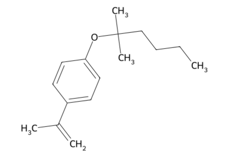 C=C(C)c1ccc(OC(C)(C)CCCC)cc1